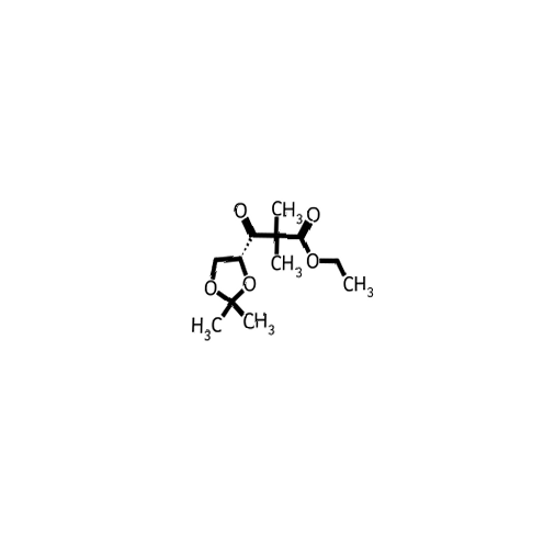 CCOC(=O)C(C)(C)C(=O)[C@H]1COC(C)(C)O1